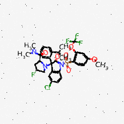 COc1ccc(S(=O)(=O)N2C(=O)C(c3ccccc3C(C)C)(N3C[C@H](F)C[C@H]3C(=O)N(C)C)c3cc(Cl)ccc32)c(OC(F)(F)F)c1